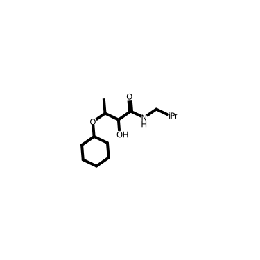 CC(C)CNC(=O)C(O)C(C)OC1CCCCC1